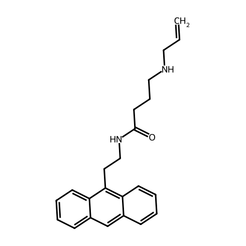 C=CCNCCCC(=O)NCCc1c2ccccc2cc2ccccc12